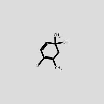 CC1=C(Cl)C=CC(C)(O)C1